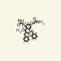 Cc1c(Cc2ccccc2)c(=O)n(Cc2ccccc2)c2cc(OCC(N)=O)cc(OCC(N)=O)c12